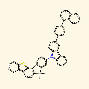 CC1(C)c2cc(-n3c4ccccc4c4cc(-c5ccc(-c6cccc7ccccc67)cc5)ccc43)ccc2-c2c1ccc1c2sc2ccccc21